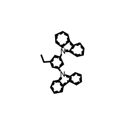 CCc1cc(-n2c3ccccc3c3ccccc32)cc(-n2c3ccccc3c3ccccc32)c1